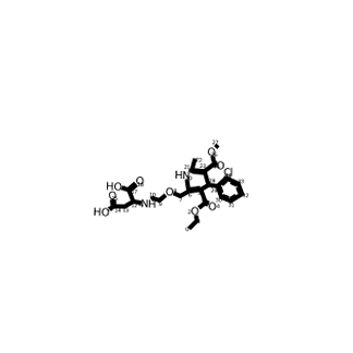 CCOC(=O)C1=C(COCCNC(CC(=O)O)C(=O)O)NC(C)=C(C(=O)OC)C1c1ccccc1Cl